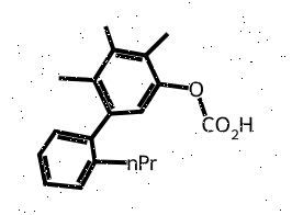 CCCc1ccccc1-c1cc(OC(=O)O)c(C)c(C)c1C